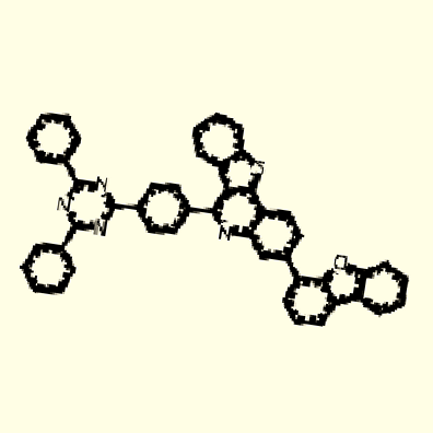 c1ccc(-c2nc(-c3ccccc3)nc(-c3ccc(-c4nc5cc(-c6cccc7c6oc6ccccc67)ccc5c5sc6ccccc6c45)cc3)n2)cc1